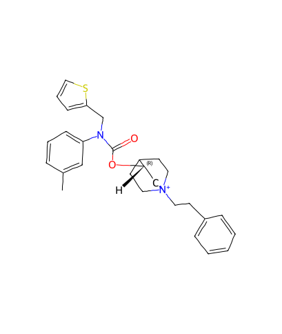 Cc1cccc(N(Cc2cccs2)C(=O)O[C@H]2C[N+]3(CCc4ccccc4)CCC2CC3)c1